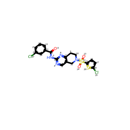 O=C(Nc1ncc2c(n1)CCN(S(=O)(=O)c1ccc(Cl)s1)C2)c1cccc(Cl)c1